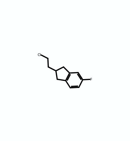 Fc1ccc2c(c1)CC(CCCl)C2